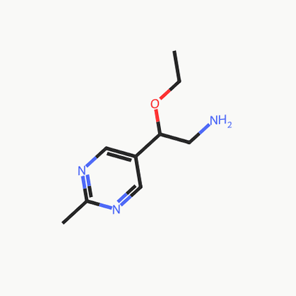 CCOC(CN)c1cnc(C)nc1